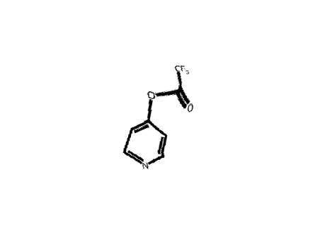 O=C(Oc1ccncc1)C(F)(F)F